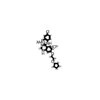 COC1(Nc2ccc(Cl)cc2F)N=CNc2cc(OCCOC3CCCC3)ccc21.Cl